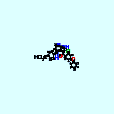 O=C(c1ccc(Oc2ccccc2)cc1Cl)c1c[nH]c2nccc(N[C@H]3CC[C@H](C(=O)O)CC3)c12